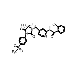 CC1(C)C(=O)N(c2ccc(S(=O)(=O)C(F)(F)F)cc2)C(=O)N1Cc1ccnc(NC(=O)c2ccccc2Cl)c1